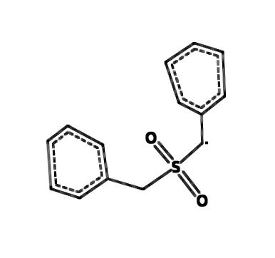 O=S(=O)([CH]c1ccccc1)Cc1ccccc1